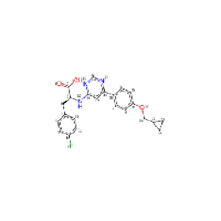 O=C(O)[C@H](Cc1ccc(F)cc1)Nc1cc(-c2ccc(OCC3CC3)cc2)ncn1